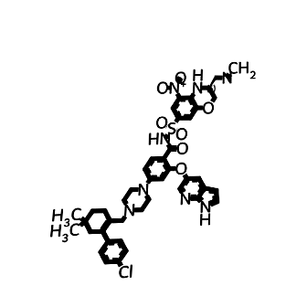 C=NC[C@H]1COc2cc(S(=O)(=O)NC(=O)c3ccc(N4CCN(CC5=C(c6ccc(Cl)cc6)CC(C)(C)CC5)CC4)cc3Oc3cnc4[nH]ccc4c3)cc([N+](=O)[O-])c2N1